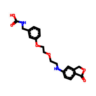 O=C(O)NCc1cccc(OCCOCCNc2ccc3c(c2)COC3=O)c1